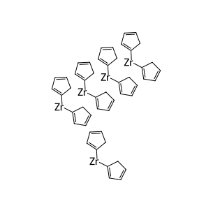 C1=CC[C]([Zr][C]2=CC=CC2)=C1.C1=CC[C]([Zr][C]2=CC=CC2)=C1.C1=CC[C]([Zr][C]2=CC=CC2)=C1.C1=CC[C]([Zr][C]2=CC=CC2)=C1.C1=CC[C]([Zr][C]2=CC=CC2)=C1